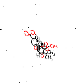 CC(C)[C@@]12O[C@@H]1[C@@H]1O[C@]13[C@]1(O[C@H]1C[C@H]1C4=C(CC[C@@]13C)C(=O)OC4)[C@@H]2OC(=O)O